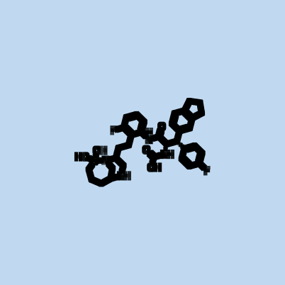 O=C(O)N[C@H](C(=O)Nc1cccc(F)c1CCC1CNC2CCCS(O)(O)N1C2)[C@@H](c1ccc(F)cc1)c1ccc2c(c1)CCC2